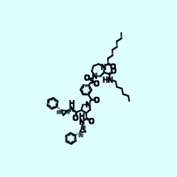 CCCCCCCC(=O)N1CCCN(S(=O)(=O)c2cccc(C(=O)N3CC(C(=O)N[C@H]4C[C@@H]4c4ccccc4)C(C(=O)N[C@H]4C[C@@H]4c4ccccc4)C3)c2)CC1C(=O)NCCCCCC